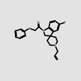 C=CCN1CCC2(CC1)CN(C(=O)CSc1ccccc1)c1ccc(F)cc12